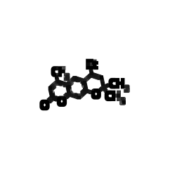 CCC1=CC(C)(C)Oc2cc3oc(=O)cc(C(F)(F)F)c3cc21